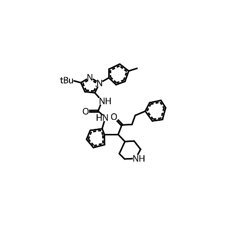 Cc1ccc(-n2nc(C(C)(C)C)cc2NC(=O)Nc2ccccc2C(C(=O)CCc2ccccc2)C2CCNCC2)cc1